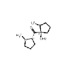 CN1CCC[C@H]1C(=O)[C@@]1([C]=O)CCCN1C